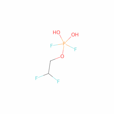 OP(O)(F)(F)OCC(F)F